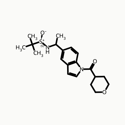 CC(N[S@+]([O-])C(C)(C)C)c1ccc2c(ccn2C(=O)C2CCOCC2)c1